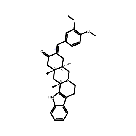 COc1ccc(/C=C2\C[C@H]3CN4CCc5c([nH]c6ccccc56)[C@]4(C)C[C@@H]3CC2=O)cc1OC